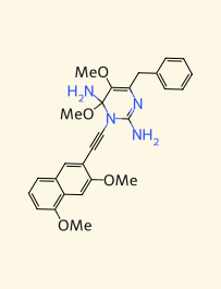 COC1=C(Cc2ccccc2)N=C(N)N(C#Cc2cc3cccc(OC)c3cc2OC)C1(N)OC